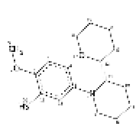 COc1ccc(N2CCCCC2[C@H]2CCCCO2)cc1S